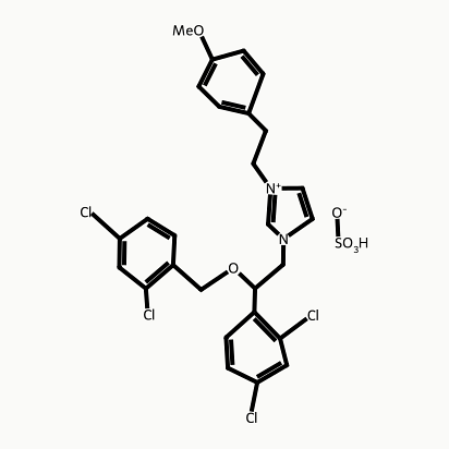 COc1ccc(CC[n+]2ccn(CC(OCc3ccc(Cl)cc3Cl)c3ccc(Cl)cc3Cl)c2)cc1.O=S(=O)([O-])O